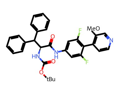 COc1cnccc1-c1c(F)cc(NC(=O)[C@@H](NC(=O)OC(C)(C)C)C(c2ccccc2)c2ccccc2)cc1F